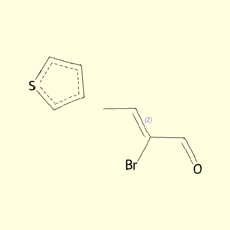 C/C=C(\Br)C=O.c1ccsc1